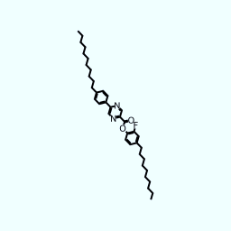 CCCCCCCCCCCc1ccc(-c2cnc(C(=O)Oc3ccc(CCCCCCCCCC)cc3F)cn2)cc1